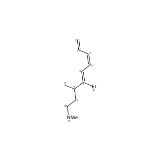 C=C/C=C\C=C(/CC)C(C)CCNC